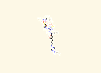 C=C(C)N(C)S(=O)(=O)c1scc(Nc2n[s+]([O-])nc2N[C@@H](c2cc(CCCCN3CCN(C)CC3)co2)C(C)(C)C)c1O